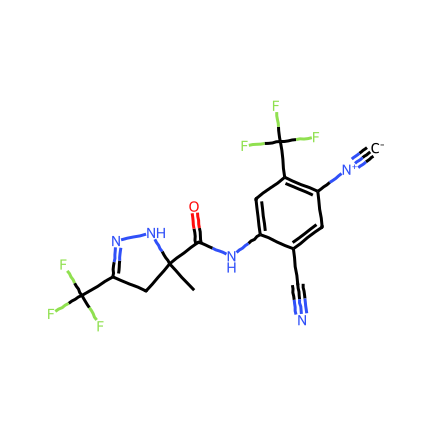 [C-]#[N+]c1cc(C#N)c(NC(=O)C2(C)CC(C(F)(F)F)=NN2)cc1C(F)(F)F